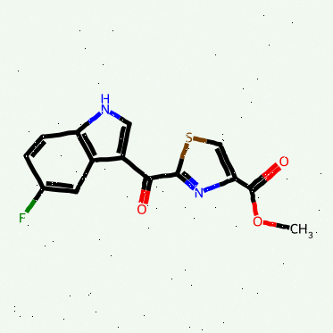 COC(=O)c1csc(C(=O)c2c[nH]c3ccc(F)cc23)n1